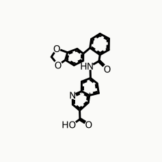 O=C(O)c1cnc2cc(NC(=O)c3ccccc3-c3ccc4c(c3)OCO4)ccc2c1